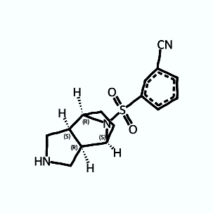 N#Cc1cccc(S(=O)(=O)N2[C@@H]3CC[C@H]2[C@H]2CNC[C@H]23)c1